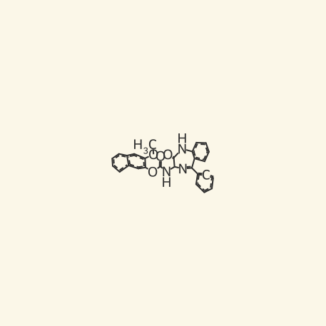 COc1cc2ccccc2cc1OC(=O)NC1N=C(c2ccccc2)c2ccccc2NC1=O